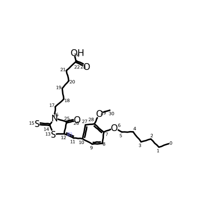 CCCCCCOc1ccc(/C=C2/SC(=S)N(CCCCCC(=O)O)C2=O)cc1OC